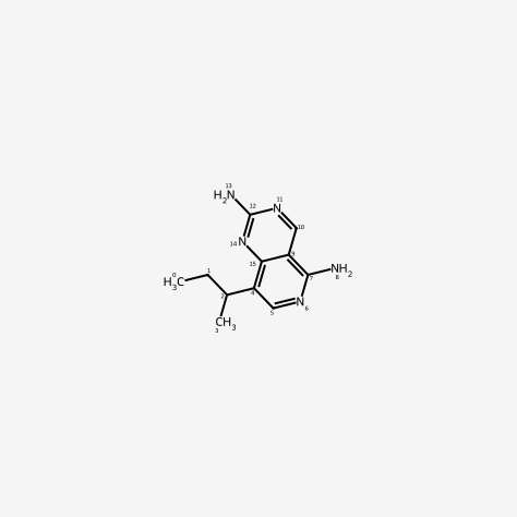 CCC(C)c1cnc(N)c2cnc(N)nc12